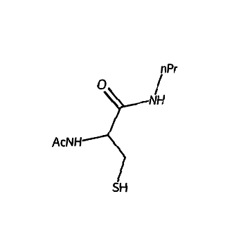 CCCNC(=O)C(CS)NC(C)=O